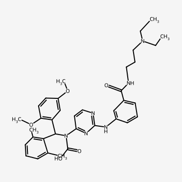 CCN(CC)CCCNC(=O)c1cccc(Nc2nccc(N(C(=O)O)C(c3cc(OC)ccc3OC)c3c(C)cccc3C)n2)c1